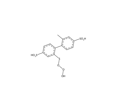 Cc1cc(S(=O)(=O)O)ccc1-c1ccc(S(=O)(=O)O)cc1SOOO